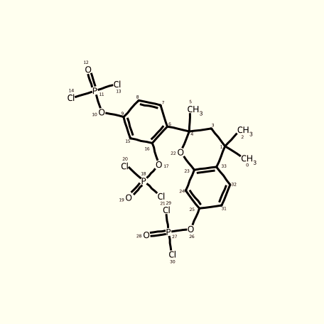 CC1(C)CC(C)(c2ccc(OP(=O)(Cl)Cl)cc2OP(=O)(Cl)Cl)Oc2cc(OP(=O)(Cl)Cl)ccc21